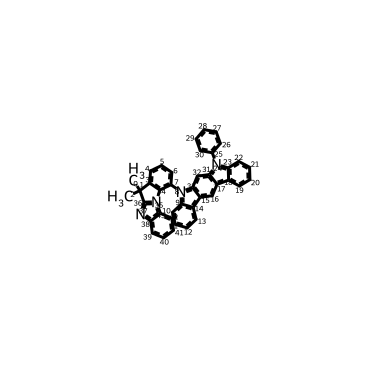 CC1(C)c2cccc(-n3c4ccccc4c4cc5c6ccccc6n(-c6ccccc6)c5cc43)c2-n2c1nc1ccccc12